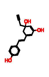 C#CCC1(O)C=C(O)C=C(C=Cc2ccc(O)cc2)C1